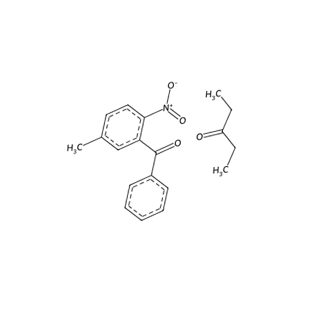 CCC(=O)CC.Cc1ccc([N+](=O)[O-])c(C(=O)c2ccccc2)c1